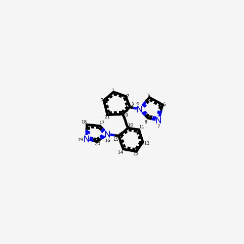 c1ccc(-n2ccnc2)c(-c2ccccc2-n2ccnc2)c1